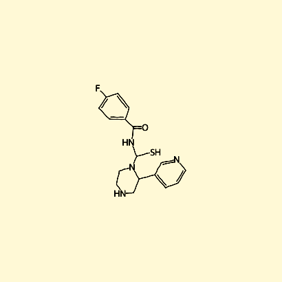 O=C(NC(S)N1CCNCC1c1cccnc1)c1ccc(F)cc1